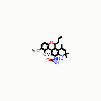 C=CCC1Oc2ccc(OC(C)=O)c(OC)c2-c2ccc3c(c21)C(C)=CC(C)(C)N3.O=C1NN1